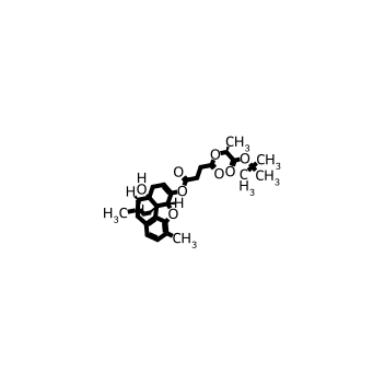 Cc1ccc2c3c1O[C@H]1C(OC(=O)CCC(=O)O[C@@H](C)C(=O)OC(C)(C)C)=CC[C@@]4(O)[C@@H](C2)N(C)CC[C@]314